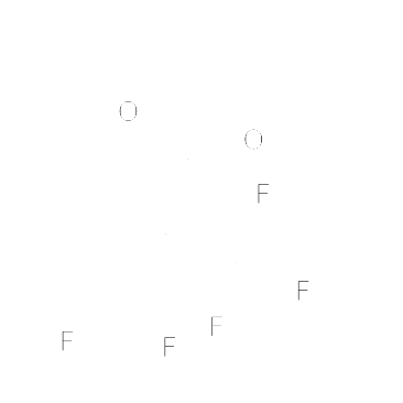 CCOC(=O)C1(C(F)(F)F)CC1(F)F